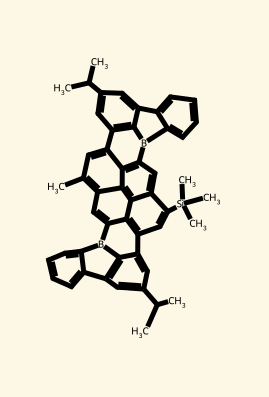 Cc1cc2c3c(cc4c([Si](C)(C)C)cc5c6c(cc1c3c46)B1c3ccccc3-c3cc(C(C)C)cc-5c31)B1c3ccccc3-c3cc(C(C)C)cc-2c31